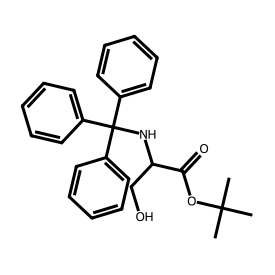 CC(C)(C)OC(=O)C(CO)NC(c1ccccc1)(c1ccccc1)c1ccccc1